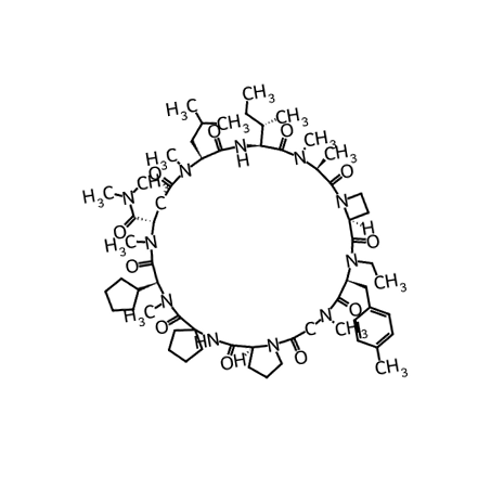 CC[C@H](C)[C@@H]1NC(=O)[C@H](CC(C)C)N(C)C(=O)C[C@@H](C(=O)N(C)C)N(C)C(=O)[C@H](C2CCCC2)N(C)C(=O)C2(CCCC2)NC(=O)[C@@H]2CCCN2C(=O)CN(C)C(=O)[C@H](Cc2ccc(C)cc2)N(CC)C(=O)[C@@H]2CCN2C(=O)[C@H](C)N(C)C1=O